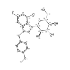 COc1ccc(Sc2cn([C@@H]3O[C@H](CO)[C@@H](O)[C@H](O)[C@H]3O)c3c(Cl)cc(F)cc23)cc1